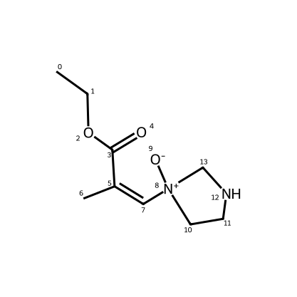 CCOC(=O)C(C)=C[N+]1([O-])CCNC1